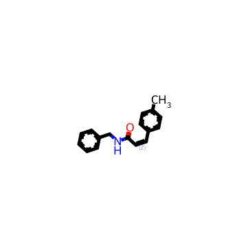 Cc1ccc(/C=C\C(=O)NCc2ccccc2)cc1